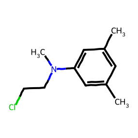 Cc1cc(C)cc(N(C)CCCl)c1